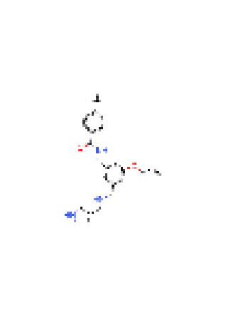 C=CCOc1cc(CNCC2CCNC2)cc(CNC(=O)c2ccc(C(C)(C)C)cc2)c1